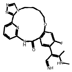 CN/C(C)=C(\C=N)c1cc2c(cc1F)OCCCCn1cnnc1-c1cccc(n1)NC2=O